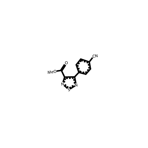 COC(=O)c1nsnc1-c1ccc(C#N)cc1